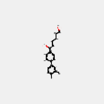 Cc1ccc(-c2ccc(C(O)CCCCCO)cc2)cc1C